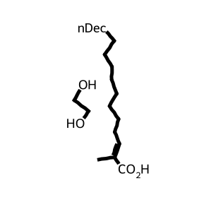 CCCCCCCCCCCCCCCCCCC=C(C)C(=O)O.OCCO